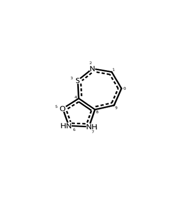 c1cnsc2o[nH][nH]c=2c1